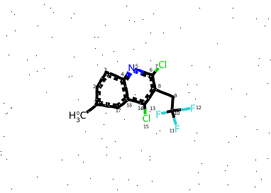 Cc1ccc2nc(Cl)c(CC(F)(F)F)c(Cl)c2c1